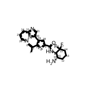 C=C(C)c1sc(C(=O)N[C@@H]2[C@@H](N)CCCC2(F)F)cc1-c1cnc2cccnn12